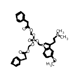 COc1ccc2c(c1)c(CCN(C)C)cn2COP(=O)(OCOC(=O)Cc1ccccc1)OCOC(=O)Cc1ccccc1